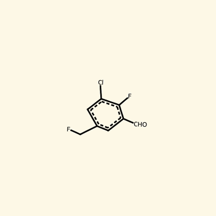 O=Cc1cc(CF)cc(Cl)c1F